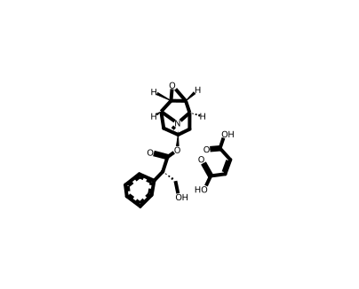 CN1[C@@H]2C[C@@H](OC(=O)[C@H](CO)c3ccccc3)C[C@H]1[C@@H]1O[C@@H]12.O=C(O)/C=C\C(=O)O